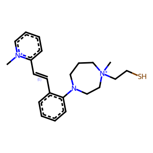 C[n+]1ccccc1/C=C/c1ccccc1N1CCC[N+](C)(CCS)CC1